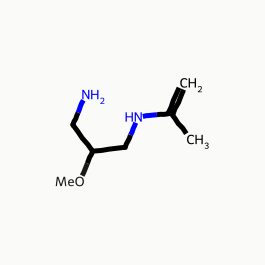 C=C(C)NCC(CN)OC